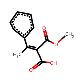 COC(=O)C(C(=O)O)=C(C)c1ccccc1